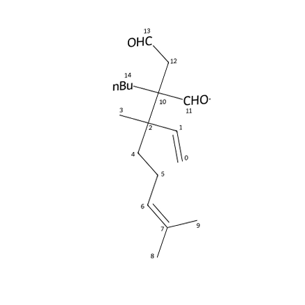 C=CC(C)(CCC=C(C)C)C([C]=O)(CC=O)CCCC